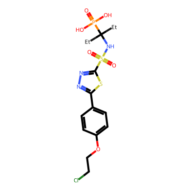 CCC(CC)(NS(=O)(=O)c1nnc(-c2ccc(OCCCl)cc2)s1)P(=O)(O)O